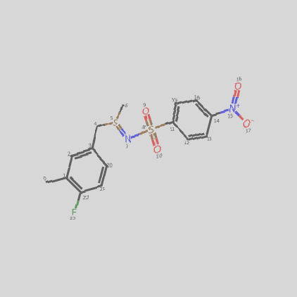 Cc1cc(CS(C)=NS(=O)(=O)c2ccc([N+](=O)[O-])cc2)ccc1F